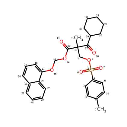 Cc1ccc(S(=O)(=O)OCC(C)(C(=O)OCOc2cccc3ccccc23)C(=O)C2CCCCC2)cc1